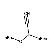 C#CC(CCCCC)OCCCC